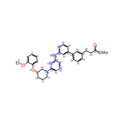 CCOc1ccccc1O[C@@H]1CCCN(c2cncc(Nc3cc(-c4cccc(CCC(=O)OC)c4)ccn3)n2)C1